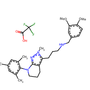 COc1ccc(CNCCCc2c3c(nn2C)N(c2c(C)cc(C)cc2C)CCC3)cc1OC.O=C(O)C(F)(F)F